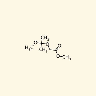 COC(=O)COC(C)(C)OC